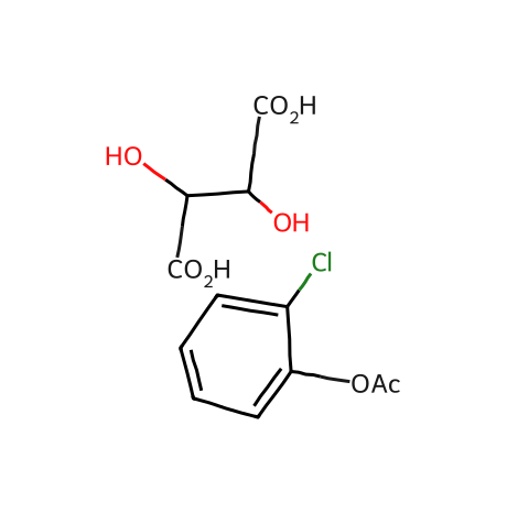 CC(=O)Oc1ccccc1Cl.O=C(O)C(O)C(O)C(=O)O